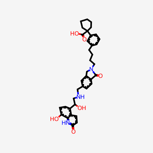 O=C1c2ccc(CNCC(O)c3ccc(O)c4[nH]c(=O)ccc34)cc2CN1CCCCc1cccc(C2(C(=O)O)CCCCC2)c1